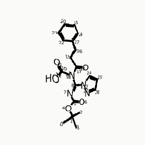 CC(C)(C)OC(=O)N=C(N(C(=O)O)C(=O)CCc1ccccc1)n1cccn1